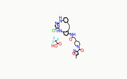 Cc1cc(C(=O)N2CCC(CC(=O)Nc3ccc4cc3CCc3cccc(c3)Nc3ncc(Cl)c(n3)N4)CC2)no1.O=C(O)C(F)(F)F